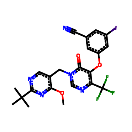 COc1nc(C(C)(C)C)ncc1Cn1cnc(C(F)(F)F)c(Oc2cc(I)cc(C#N)c2)c1=O